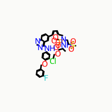 CCOC(=O)C(C)NP(=O)(COC)N(CCS(C)(=O)=O)Cc1ccc(-c2ccc3ncnc(Nc4ccc(OCc5cccc(F)c5)c(Cl)c4)c3c2)o1